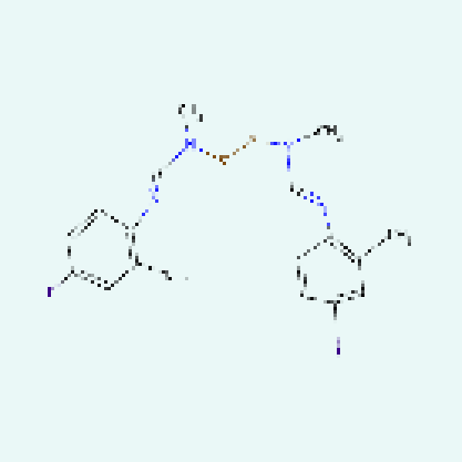 Cc1cc(I)ccc1N=CN(C)SSN(C)C=Nc1ccc(I)cc1C